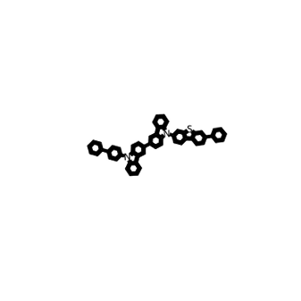 c1ccc(-c2ccc(-n3c4ccccc4c4cc(-c5ccc6c(c5)c5ccccc5n6-c5ccc6c(c5)sc5cc(-c7ccccc7)ccc56)ccc43)cc2)cc1